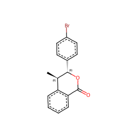 C[C@@H]1c2ccccc2C(=O)O[C@H]1c1ccc(Br)cc1